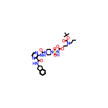 CCCN(CCOC(=O)NS(=O)(=O)N1CCN(C(=O)Nc2nccnc2C(=O)NC2Cc3ccccc3C2)CC1)C(=O)OC(C)(C)C